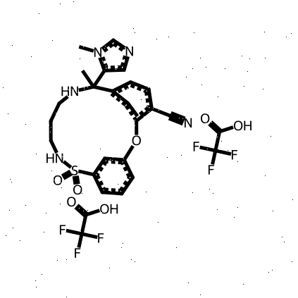 Cn1cncc1C1(C)NCCCNS(=O)(=O)c2cccc(c2)Oc2cc1ccc2C#N.O=C(O)C(F)(F)F.O=C(O)C(F)(F)F